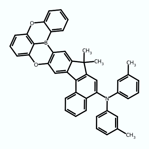 Cc1cccc(N(c2cccc(C)c2)c2cc3c(c4ccccc24)-c2cc4c(cc2C3(C)C)B2c3ccccc3Oc3cccc(c32)O4)c1